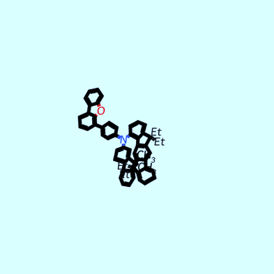 CCC1(CC)c2ccccc2-c2cc3c(cc21)-c1c(N(c2ccc(-c4cccc5c4oc4ccccc45)cc2)c2ccc4c(c2)C(C)(C)c2ccccc2-4)cccc1C3(CC)CC